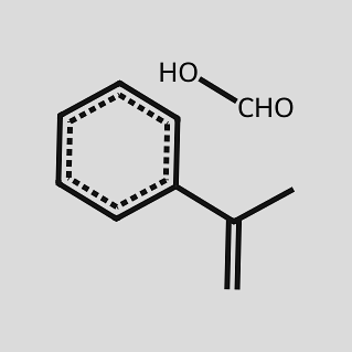 C=C(C)c1ccccc1.O=CO